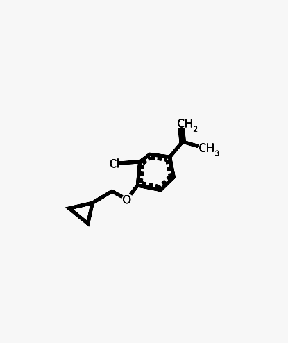 C=C(C)c1ccc(OCC2CC2)c(Cl)c1